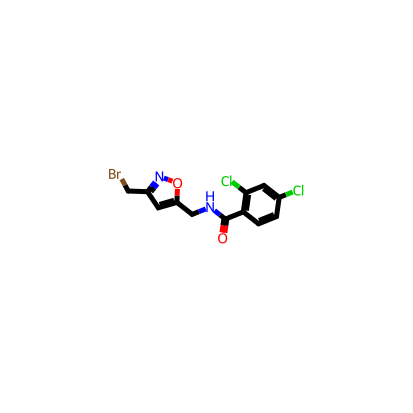 O=C(NCc1cc(CBr)no1)c1ccc(Cl)cc1Cl